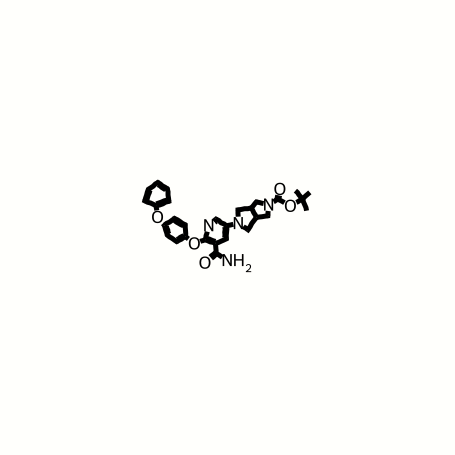 CC(C)(C)OC(=O)N1CC2CN(c3cnc(Oc4ccc(Oc5ccccc5)cc4)c(C(N)=O)c3)CC2C1